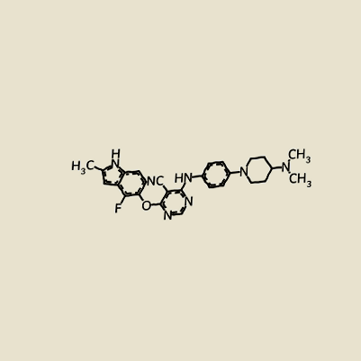 Cc1cc2c(F)c(Oc3ncnc(Nc4ccc(N5CCC(N(C)C)CC5)cc4)c3C#N)ccc2[nH]1